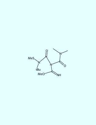 COC(=N)N(C(=O)N(C)C)C(=O)N(SC)C(C)(C)C